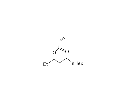 [CH2]CC(CCCCCCCC)OC(=O)C=C